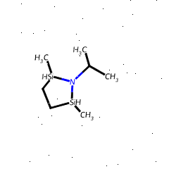 CC(C)N1[SiH](C)CC[SiH]1C